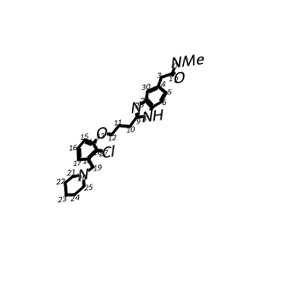 CNC(=O)Cc1ccc2[nH]c(CCCOc3cccc(CN4CCCCC4)c3Cl)nc2c1